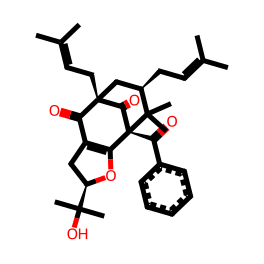 CC(C)=CC[C@@H]1C[C@@]2(CC=C(C)C)C(=O)C3=C(O[C@@H](C(C)(C)O)C3)[C@](C(=O)c3ccccc3)(C2=O)C1(C)C